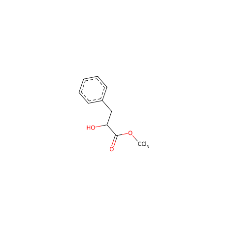 O=C(OC(Cl)(Cl)Cl)C(O)Cc1ccccc1